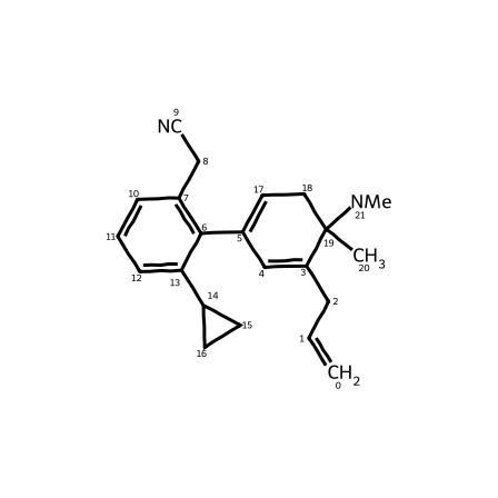 C=CCC1=CC(c2c(CC#N)cccc2C2CC2)=CCC1(C)NC